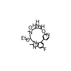 CCO[C@H]1CN(C)C(=O)[C@@H]2C[C@@H](CN2)Oc2cc(ccn2)-c2cc(F)cc3nc(C)n(c23)C1